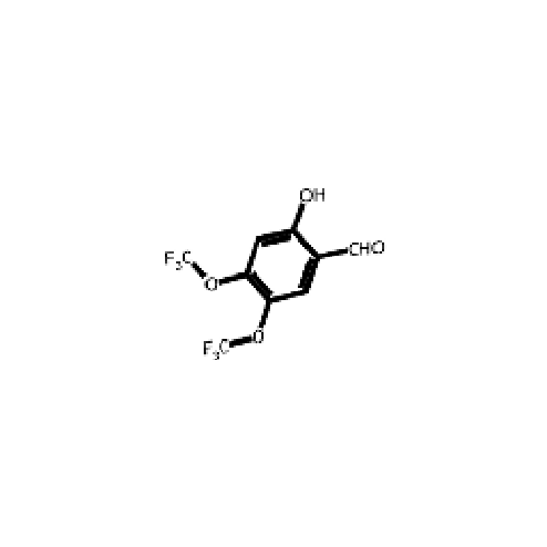 O=Cc1cc(OC(F)(F)F)c(OC(F)(F)F)cc1O